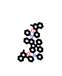 Cc1cc2ccccc2c2c1oc1c(N(c3ccccc3)c3ccc4c(c3)C(c3ccccc3)(c3ccccc3)c3cc(N(c5ccccc5)c5cccc6c5oc5c(C)cc7ccccc7c56)c5ccccc5c3-4)cccc12